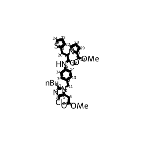 CCCCc1nc(Cl)c(CC(=O)OC)n1Cc1ccc(NC(=O)C(Cc2cccs2)n2cccc2C(=O)OC)cc1